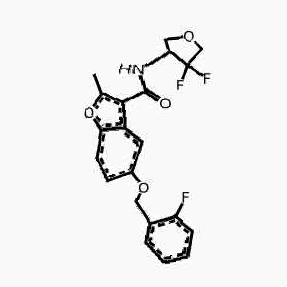 Cc1oc2ccc(OCc3ccccc3F)cc2c1C(=O)NC1COCC1(F)F